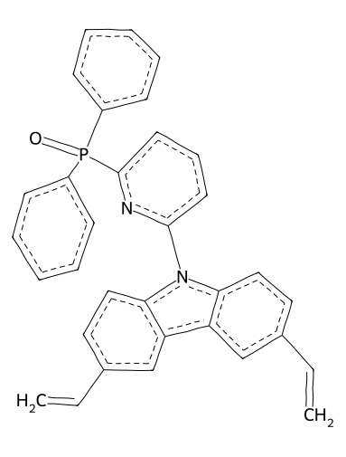 C=Cc1ccc2c(c1)c1cc(C=C)ccc1n2-c1cccc(P(=O)(c2ccccc2)c2ccccc2)n1